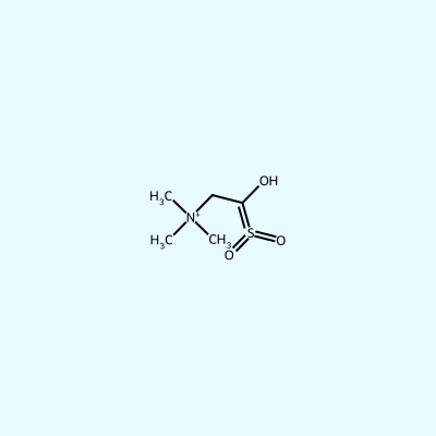 C[N+](C)(C)CC(O)=S(=O)=O